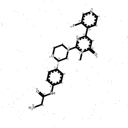 Cn1c(N2CCO[C@@H](c3ccc(NC(=O)CN)cc3)C2)nc(-c2ccncc2F)cc1=O